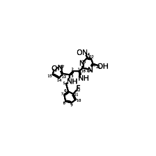 N=C(/C=C(\NCc1ccccc1F)c1ccon1)c1nc(O)cc(N=O)n1